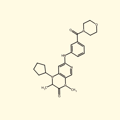 CC1C(=O)N(C)c2cnc(Nc3cccc(C(=O)N4CCOCC4)c3)cc2N1C1CCCC1